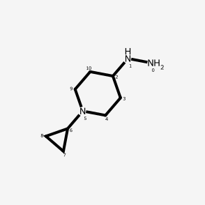 NNC1CCN(C2CC2)CC1